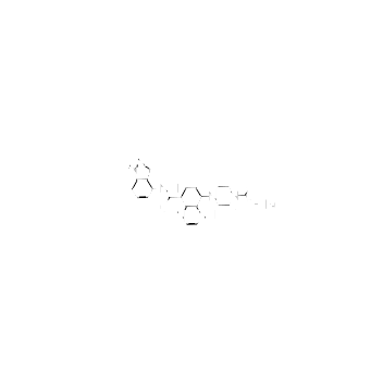 C[C@@H]1CN(c2ccc(C(=O)Nc3cccc4c3cnn4C)c3nccnc23)C[C@H](C)N1C(=O)OC(C)(C)C